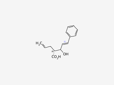 C=CC[C@@H](C(=O)O)C(O)/C=C/c1ccccc1